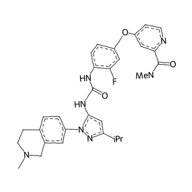 CNC(=O)c1cc(Oc2ccc(NC(=O)Nc3cc(C(C)C)nn3-c3ccc4c(c3)CN(C)CC4)c(F)c2)ccn1